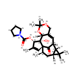 CC1=C[C@]23C(=O)[C@@H](C=C4COC(C)(C)O[C@H]4[C@]2(O)[C@H]1OC(=O)N1CCCC1)[C@H]1[C@@H](C[C@H]3C)C1(C)C